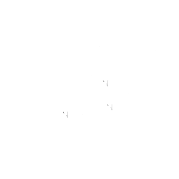 Cc1cc(N2CCC(C)CC2)c2c(C)cn(-c3c(Cl)cc(Cl)cc3Cl)c2n1